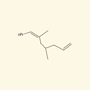 C=CCC(C)CC(C)=CCCC